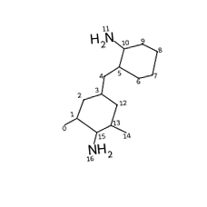 CC1CC(CC2CCCCC2N)CC(C)C1N